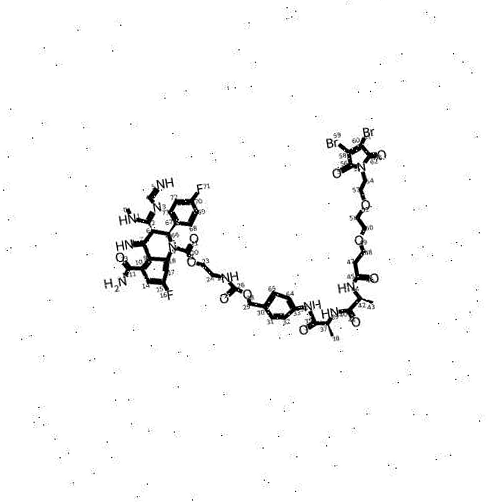 CN/C(=N\C=N)[C@H]1C(=N)c2c(C(N)=O)cc(F)cc2N(C(=O)OCCNC(=O)OCc2ccc(NC(=O)[C@H](C)NC(=O)[C@H](C)NC(=O)CCOCCOCCN3C(=O)C(Br)=C(Br)C3=O)cc2)[C@@H]1c1ccc(F)cc1